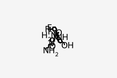 NC/C=C/C(=O)N1CCC[C@@H](N2c3ccc(CO)cc3NC2N(N)C(=O)c2cccc(C(F)(F)F)c2)C1